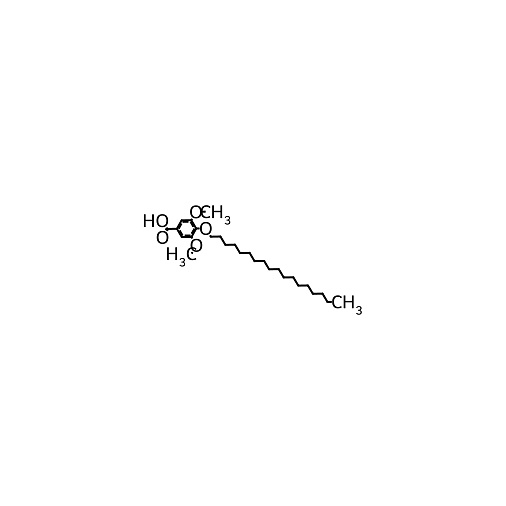 CCCCCCCCCCCCCCCCCCOc1c(OC)cc(C(=O)O)cc1OC